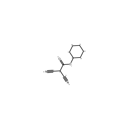 N#CC(C#N)C(=O)OC1CCCCC1